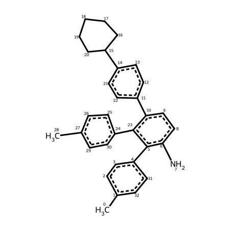 Cc1ccc(-c2c(N)ccc(-c3ccc(C4CCCCC4)cc3)c2-c2ccc(C)cc2)cc1